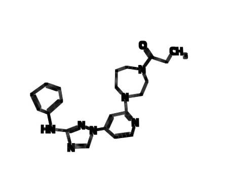 CCC(=O)N1CCCN(c2cc(-n3cnc(Nc4ccccc4)n3)ccn2)CC1